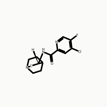 O=C(N[C@H]1CN2CCC1CC2)c1cc(Cl)c(F)cn1